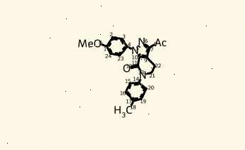 COc1ccc(-n2nc(C(C)=O)c3c2C(=O)N(c2ccc(C)cc2)CC3)cc1